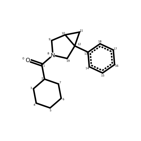 O=C(C1CCCCC1)N1CC2CC2(c2ccccc2)C1